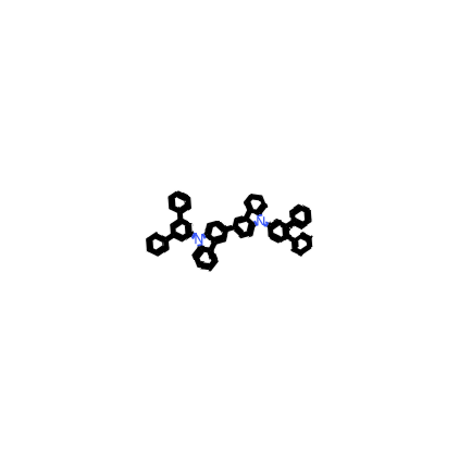 c1ccc(-c2cc(-c3ccccc3)cc(-n3c4ccccc4c4cc(-c5ccc6c(c5)c5ccccc5n6-c5ccc(-c6ccccc6)c(-c6ccccc6)c5)ccc43)c2)cc1